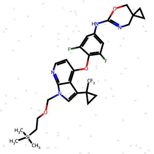 C[Si](C)(C)CCOCn1cc(C2(C(F)(F)F)CC2)c2c(Oc3c(F)cc(NC4=NCC5(CC5)CO4)cc3F)ccnc21